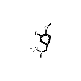 COc1ccc(CN(C)N)cc1F